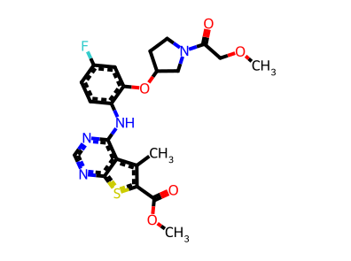 COCC(=O)N1CCC(Oc2cc(F)ccc2Nc2ncnc3sc(C(=O)OC)c(C)c23)C1